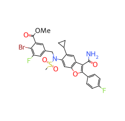 COC(=O)c1cc(CN(c2cc3oc(-c4ccc(F)cc4)c(C(N)=O)c3cc2C2CC2)S(C)(=O)=O)cc(F)c1Br